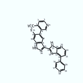 Cc1ccncc1-c1cc2c(-c3nc4c(-c5ccncc5)ccnc4[nH]3)n[nH]c2cc1F